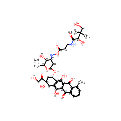 COc1cccc2c1C(=O)c1c(O)c3c(c(O)c1C2=O)C[C@@](O)(C(=O)CO)C[C@@H]3OC1CC(NOC(=O)CCNC(=O)[C@H](O)C(C)(C)CO)C(O)C(C)O1.[NaH]